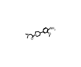 COc1cc(C2CCN(C(=O)CN(C)C)CC2)ccc1N